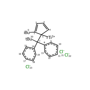 CCC(C)C1=CC=C[C]1([Ti+3])C(c1ccccc1)(c1ccccc1)C(C)(C)C.[Cl-].[Cl-].[Cl-]